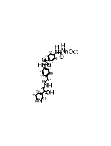 CCCCCCCCNC(=O)Nc1ccc(S(=O)(=O)Nc2ccc(CCNCC(O)c3cccnc3)cc2)cc1